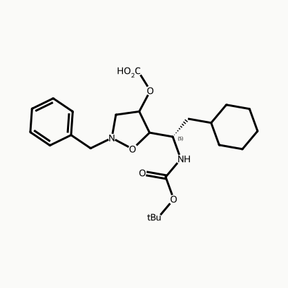 CC(C)(C)OC(=O)N[C@@H](CC1CCCCC1)C1ON(Cc2ccccc2)CC1OC(=O)O